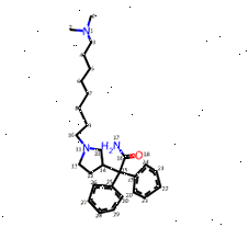 CN(C)CCCCCCCCN1CCC(C(C(N)=O)(c2ccccc2)c2ccccc2)C1